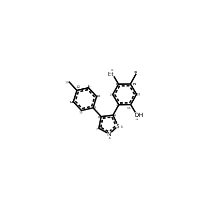 CCc1cc(-c2sncc2-c2ccc(C)cc2)c(O)cc1C